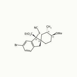 CCOC(=O)[C@]1(SC#N)c2cc(Br)ccc2C[C@@]12CC[C@H](OC)[C@@H](C)C2